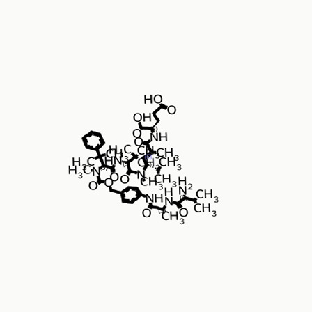 C/C(=C\[C@H](C(C)C)N(C)C(=O)[C@@H](NC(=O)[C@@H](N(C)C(=O)OCc1ccc(NC(=O)[C@H](C)NC(=O)[C@@H](N)C(C)C)cc1)C(C)(C)c1ccccc1)C(C)(C)C)C(=O)N[C@H](CCC(=O)O)C(=O)O